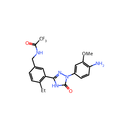 CCc1ccc(CNC(=O)C(F)(F)F)cc1-c1nn(-c2ccc(N)c(OC)c2)c(=O)[nH]1